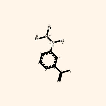 C=C(C)c1cccc([SiH](CC)N(CC)CC)c1